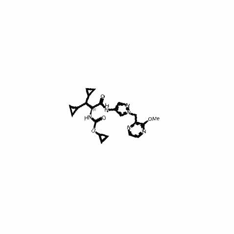 COc1nccnc1Cn1cc(NC(=O)[C@@H](NC(=O)OC2CC2)C(C2CC2)C2CC2)cn1